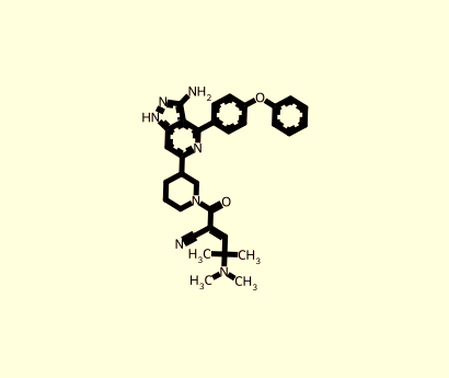 CN(C)C(C)(C)C=C(C#N)C(=O)N1CCCC(c2cc3[nH]nc(N)c3c(-c3ccc(Oc4ccccc4)cc3)n2)C1